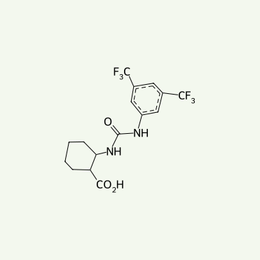 O=C(Nc1cc(C(F)(F)F)cc(C(F)(F)F)c1)NC1CCCCC1C(=O)O